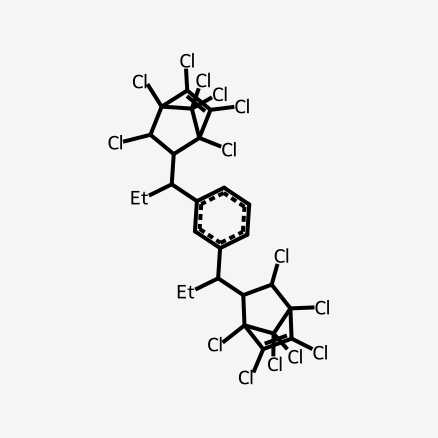 CCC(c1cccc(C(CC)C2C(Cl)C3(Cl)C(Cl)=C(Cl)C2(Cl)C3(Cl)Cl)c1)C1C(Cl)C2(Cl)C(Cl)=C(Cl)C1(Cl)C2(Cl)Cl